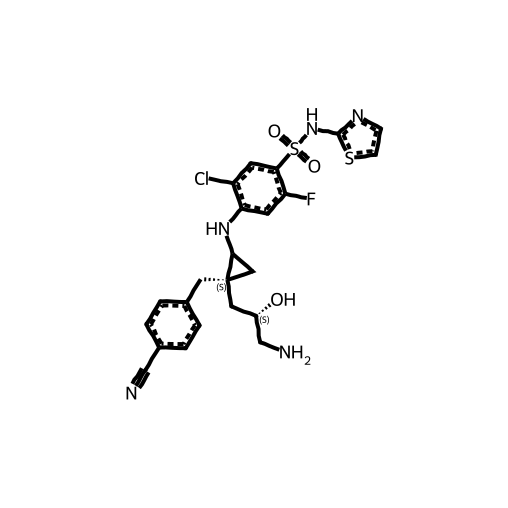 N#Cc1ccc(C[C@@]2(C[C@H](O)CN)CC2Nc2cc(F)c(S(=O)(=O)Nc3nccs3)cc2Cl)cc1